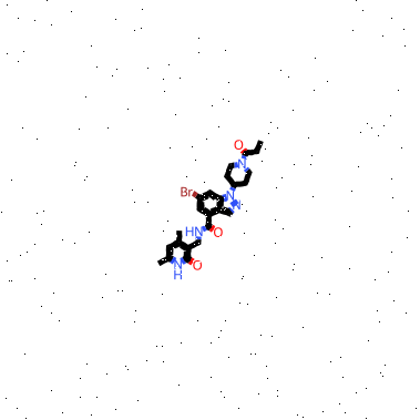 CCC(=O)N1CCC(n2ncc3c(C(=O)NCc4c(C)cc(C)[nH]c4=O)cc(Br)cc32)CC1